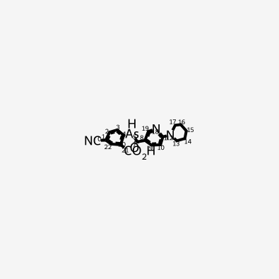 N#Cc1ccc([AsH]C(=O)c2ccc(N3CCCCC3)nc2)c(C(=O)O)c1